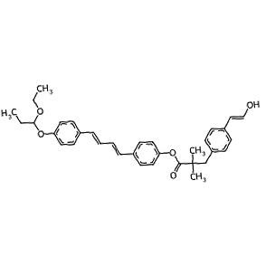 CCOC(CC)Oc1ccc(C=CC=Cc2ccc(OC(=O)C(C)(C)Cc3ccc(C=CO)cc3)cc2)cc1